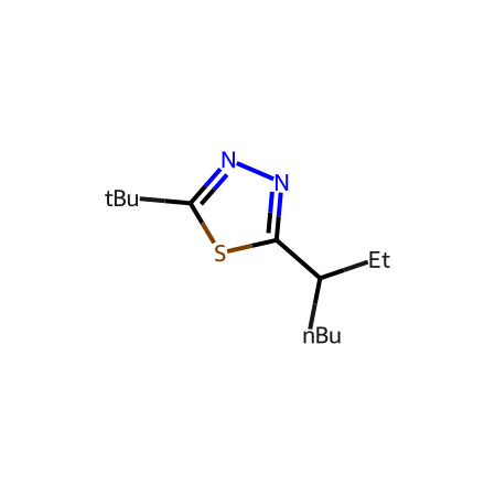 CCCCC(CC)c1nnc(C(C)(C)C)s1